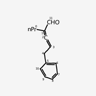 CCCC(=C=CCc1ccccc1)C=O